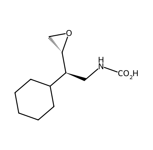 O=C(O)NC[C@@H](C1CCCCC1)[C@@H]1CO1